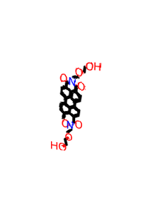 O=C1c2ccc3c4ccc5c6c(ccc(c7ccc(c2c73)CON1CCOCCO)c64)C(=O)N(CCOCCO)C5=O